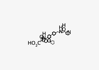 O=C(O)CCS(=O)(=O)NC(=O)c1ccc(-c2ccc(CCNC[C@@H](O)c3cccnc3)cc2)cc1OC1CCCCC1